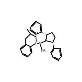 CCCCN(P1c2ccccc2CC(C)[C@@H]1C)P1[C@H](c2ccccc2)CC[C@H]1c1ccccc1